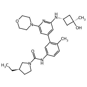 CC[C@@H]1CCN(C(=O)Nc2ccc(C)c(-c3cc(N[C@H]4C[C@](C)(O)C4)nc(N4CCOCC4)c3)c2)C1